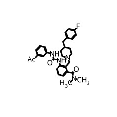 CC(=O)c1cccc(NC(=O)Nc2cccc(C(=O)N(C)C)c2CN2CCC(Cc3ccc(F)cc3)CC2)c1